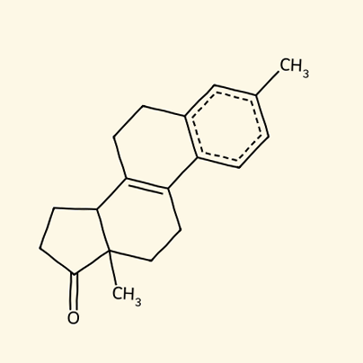 Cc1ccc2c(c1)CCC1=C2CCC2(C)C(=O)CCC12